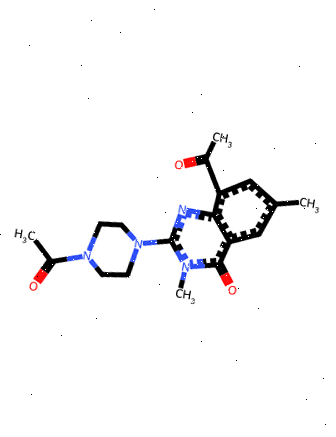 CC(=O)c1cc(C)cc2c(=O)n(C)c(N3CCN(C(C)=O)CC3)nc12